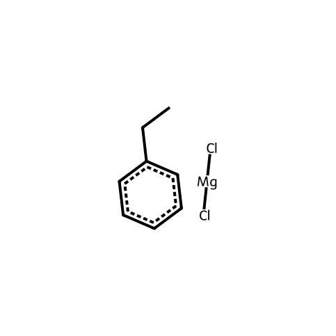 CCc1ccccc1.[Cl][Mg][Cl]